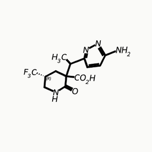 CC(c1ccc(N)nn1)C1(C(=O)O)C[C@@H](C(F)(F)F)CNC1=O